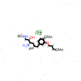 CC[C@@H](C)NC[C@H](O)[C@@H](N)C[C@H](Cc1ccc(OC)c(OCCCOC)c1)C(C)C.Cl.Cl